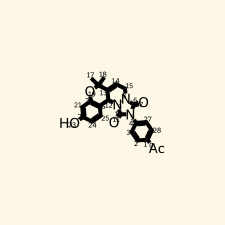 CC(=O)c1ccc(-n2c(=O)n3n(c2=O)C2C(=CC3)C(C)(C)Oc3cc(O)ccc32)cc1